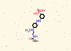 CC[C@H](C)C(=O)NCCN(C)c1ccc(/N=N/c2cccc(P(=O)(O)O)c2)cc1